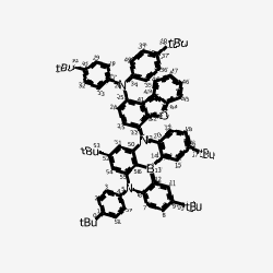 CC(C)(C)c1ccc(N2c3ccc(C(C)(C)C)cc3B3c4cc(C(C)(C)C)ccc4N(c4ccc(N(c5ccc(C(C)(C)C)cc5)c5ccc(C(C)(C)C)cc5)c5c4oc4ccccc45)c4cc(C(C)(C)C)cc2c43)cc1